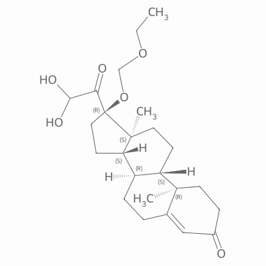 CCOCO[C@]1(C(=O)C(O)O)CC[C@H]2[C@@H]3CCC4=CC(=O)CC[C@]4(C)[C@H]3CC[C@@]21C